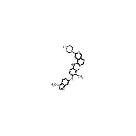 Cc1c(Oc2ccc3c(c2)ncn3C)ccc(Nc2ncnc3cnc(N4CCNCC4)nc23)c1F